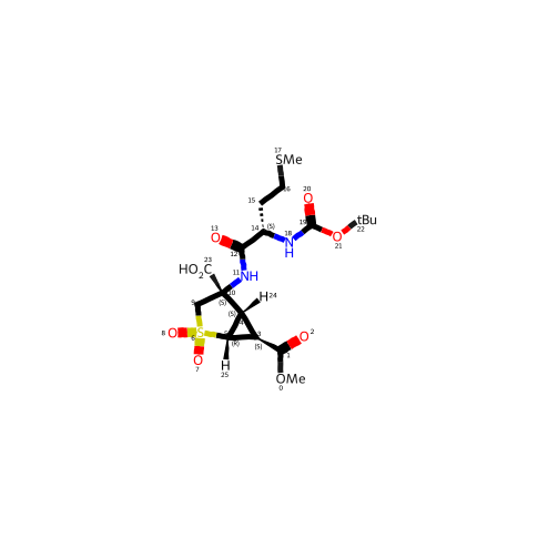 COC(=O)[C@@H]1[C@@H]2[C@H]1S(=O)(=O)C[C@@]2(NC(=O)[C@H](CCSC)NC(=O)OC(C)(C)C)C(=O)O